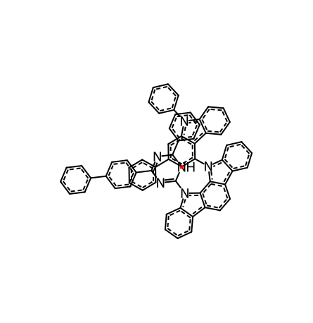 c1ccc(-c2ccc(C3=NC(c4ccccc4)NC(n4c5ccccc5c5ccc6c7ccccc7n(-c7cc(-c8ccccc8)cc8c7c7ccccc7n8-c7ccccc7)c6c54)=N3)cc2)cc1